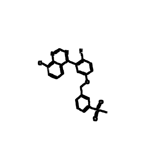 CS(=O)(=O)c1cccc(COc2ccc(F)c(-c3ncnc4c(Cl)cccc34)c2)c1